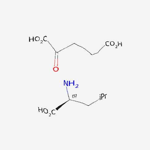 CC(C)C[C@H](N)C(=O)O.O=C(O)CCC(=O)C(=O)O